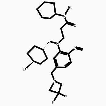 C=Nc1ccc(CN2CC(F)(F)C2)cc1N(CCC(=O)N(CC)C1CCCCC1)C[C@H]1CC[C@H](CC)CC1